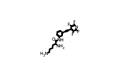 NCCCCC(N)C(=O)Nc1cccc(C#Cc2c(F)c(F)nc(F)c2F)c1